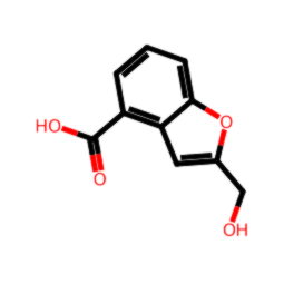 O=C(O)c1cccc2oc(CO)cc12